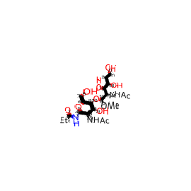 CCC(=O)N[C@@H]1OC(CO)[C@@H](O[C@H](OC)[C@@H](NC(C)=O)C(O)[C@H](O)CCO)[C@H](O)C1NC(C)=O